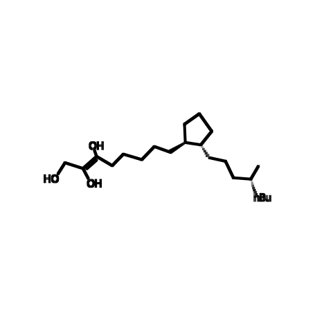 CCCC[C@@H](C)CCC[C@H]1CCC[C@@H]1CCCCCC(O)=C(O)CO